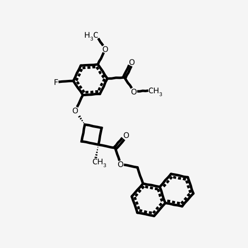 COC(=O)c1cc(O[C@H]2C[C@](C)(C(=O)OCc3cccc4ccccc34)C2)c(F)cc1OC